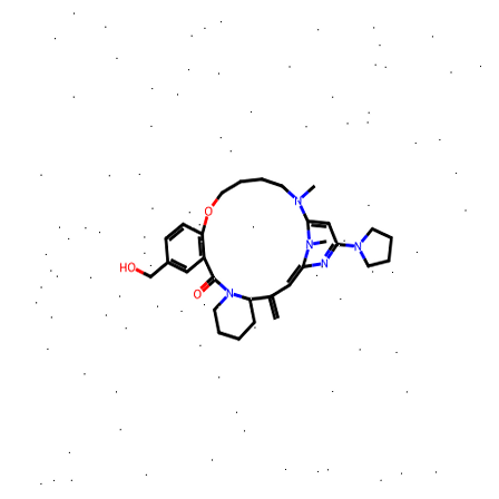 C=C1/C=C2/N=C(N3CCCC3)C=C(N(C)CCCCOc3ccc(CO)cc3C(=O)N3CCCCC13)N2C